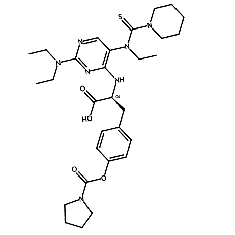 CCN(CC)c1ncc(N(CC)C(=S)N2CCCCC2)c(N[C@@H](Cc2ccc(OC(=O)N3CCCC3)cc2)C(=O)O)n1